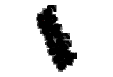 N#Cc1ccc(N(c2ccccc2)c2cc3c(c4ccccc24)-c2c(cc(N(c4ccc(C#N)cc4)c4cccc(-c5cccc(N(c6cccc(C#N)c6)c6cc7c(c8ccccc68)-c6c(cc(N(c8ccccc8)c8cccc(C#N)c8)c8ccccc68)C76c7ccccc7-c7ccccc76)c5)c4)c4ccccc24)C32c3ccccc3-c3ccccc32)cc1